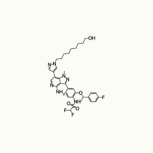 CC(Oc1cc(-c2nn(C)c3c(-c4cnn(CCCCCCCCCO)c4)cnc(N)c23)ccc1NS(=O)(=O)C(F)F)c1ccc(F)cc1